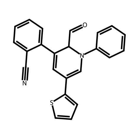 N#Cc1ccccc1C1=CC(c2cccs2)=CN(c2ccccc2)C1C=O